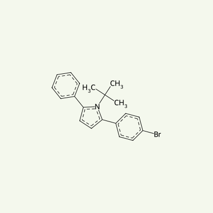 CC(C)(C)n1c(-c2ccccc2)ccc1-c1ccc(Br)cc1